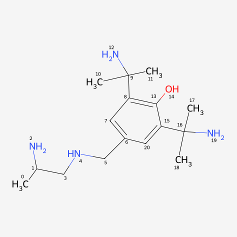 CC(N)CNCc1cc(C(C)(C)N)c(O)c(C(C)(C)N)c1